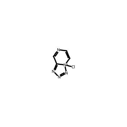 Cl[N+]12C=CN=CC1=NN=N2